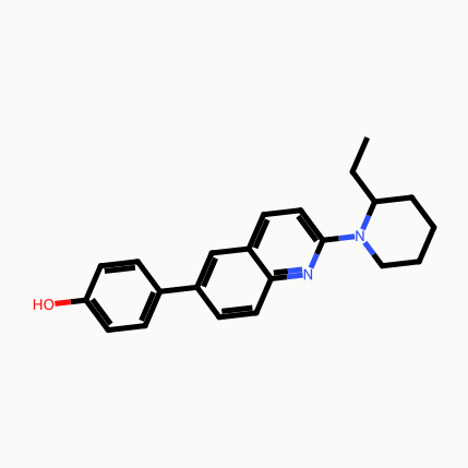 CCC1CCCCN1c1ccc2cc(-c3ccc(O)cc3)ccc2n1